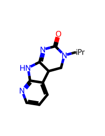 CC(C)N1CC2C(=NC1=O)Nc1ncccc12